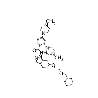 CN1CCN(c2ccc(C(=O)Nn3ncc4ccc(OCCOCc5ccccc5)cc43)c(N3CCN(C)CC3)c2)CC1